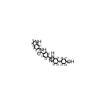 O=C(Nc1ccc2cc[nH]c2c1)c1ccc(-c2nc3ccc(-c4ccc(O)cc4)cc3[nH]2)cc1